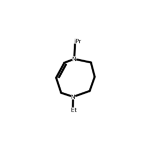 CCN1C/C=C\N(C(C)C)CCC1